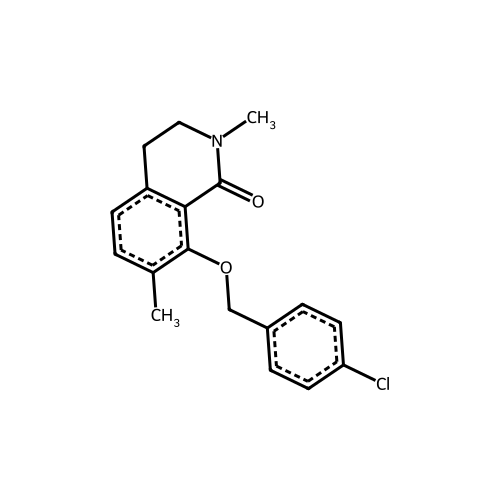 Cc1ccc2c(c1OCc1ccc(Cl)cc1)C(=O)N(C)CC2